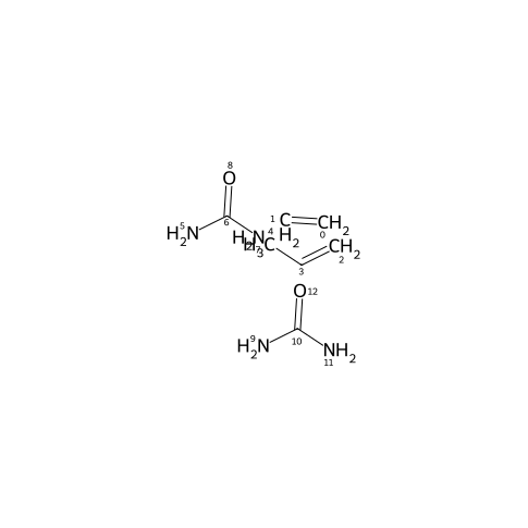 C=C.C=CC.NC(N)=O.NC(N)=O